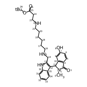 CN1C(=O)c2ccc(O)cc2C1c1c(CNCCCCCCNCCC(=O)OC(C)(C)C)[nH]c2ccccc12